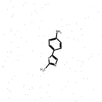 Cc1ncc(-c2ccc(N)cc2)s1